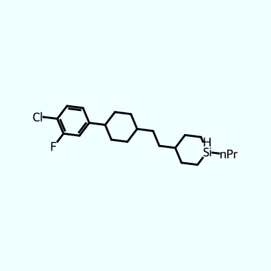 CCC[SiH]1CCC(CCC2CCC(c3ccc(Cl)c(F)c3)CC2)CC1